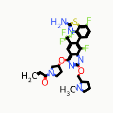 C=CC(=O)N1CCC(Oc2nc(OCC3CCCN3C)nc3c(F)c(-c4ccc(F)c5sc(N)nc45)c(C(F)(F)F)cc23)C1